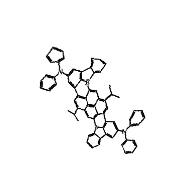 CC(C)c1cc2c3c(cc4c(C(C)C)cc5c6c(cc1c3c46)B1c3ccccc3-c3cc(N(c4ccccc4)c4ccccc4)cc-5c31)B1c3ccccc3-c3cc(N(c4ccccc4)c4ccccc4)cc-2c31